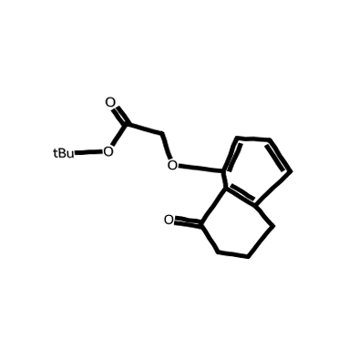 CC(C)(C)OC(=O)COc1cccc2c1C(=O)CCC2